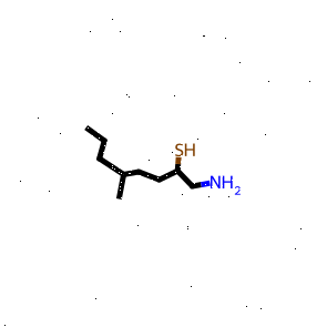 CCCC(C)CCC(S)CN